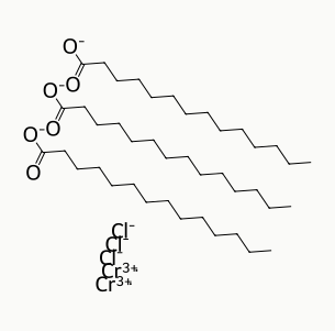 CCCCCCCCCCCCCC(=O)[O-].CCCCCCCCCCCCCC(=O)[O-].CCCCCCCCCCCCCC(=O)[O-].[Cl-].[Cl-].[Cl-].[Cr+3].[Cr+3]